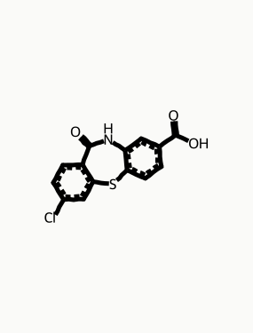 O=C(O)c1ccc2c(c1)NC(=O)c1ccc(Cl)cc1S2